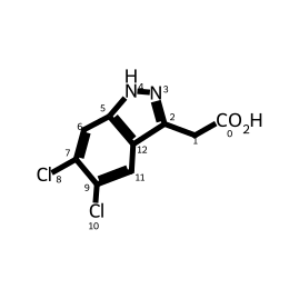 O=C(O)Cc1n[nH]c2cc(Cl)c(Cl)cc12